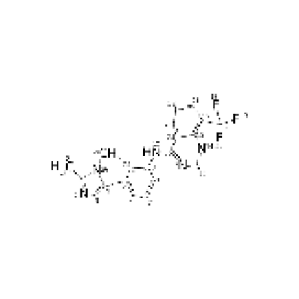 Cc1ncc(-c2cccc(Nc3ncnc4c(C(F)(F)F)cccc34)c2)n1C